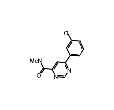 CNC(=O)c1cc(-c2cccc(Cl)c2)ncn1